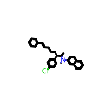 CC(C(CCC/C=C/c1ccccc1)c1ccc(Cl)cc1)N(C)c1ccc2ccccc2c1